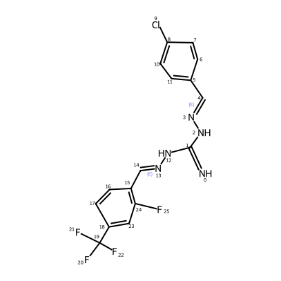 N=C(N/N=C/c1ccc(Cl)cc1)N/N=C/c1ccc(C(F)(F)F)cc1F